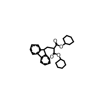 O=C(OC1CCCCC1)C(CC1c2ccccc2-c2ccccc21)C(=O)OC1CCCCC1